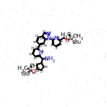 CC(C)(C)[Si](C)(C)OCc1cccc(-n2ncc3ccc(-c4cccc(C(N)C5CCC(O[Si](C)(C)C(C)(C)C)C5)n4)cc32)n1